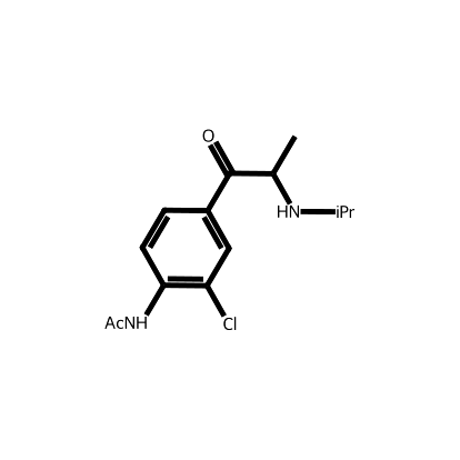 CC(=O)Nc1ccc(C(=O)C(C)NC(C)C)cc1Cl